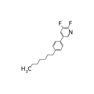 CCCCCCCc1ccc(-c2cnc(F)c(F)c2)cc1